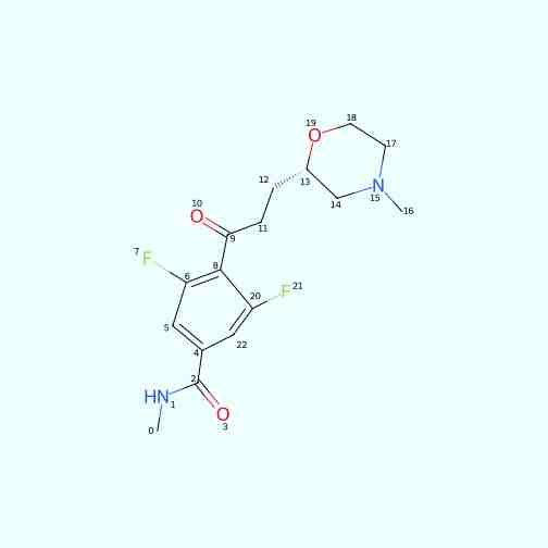 CNC(=O)c1cc(F)c(C(=O)CC[C@H]2CN(C)CCO2)c(F)c1